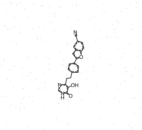 N#Cc1ccc2oc(-c3ccc(CCc4nc[nH]c(=O)c4O)cc3)cc2c1